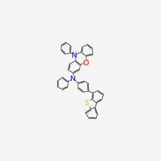 c1ccc(N(c2ccc(-c3cccc4c3sc3ccccc34)cc2)c2ccc3c(c2)Oc2ccccc2N3c2ccccc2)cc1